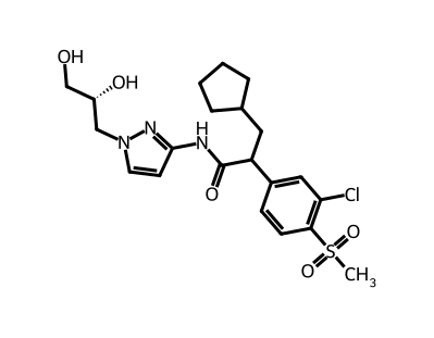 CS(=O)(=O)c1ccc(C(CC2CCCC2)C(=O)Nc2ccn(C[C@@H](O)CO)n2)cc1Cl